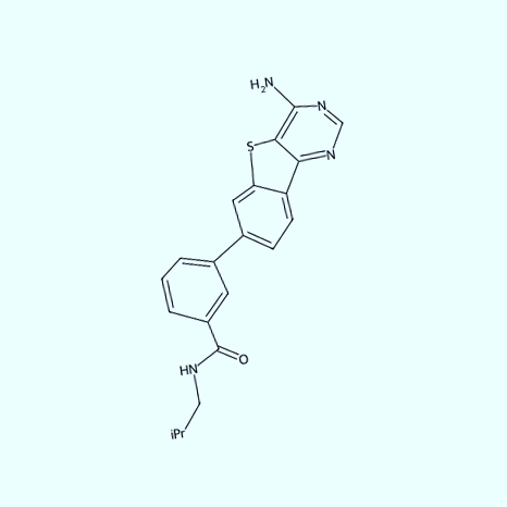 CC(C)CNC(=O)c1cccc(-c2ccc3c(c2)sc2c(N)ncnc23)c1